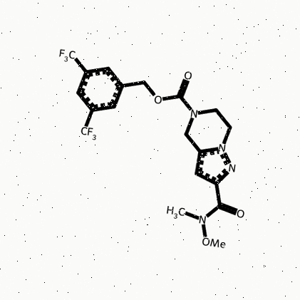 CON(C)C(=O)c1cc2n(n1)CCN(C(=O)OCc1cc(C(F)(F)F)cc(C(F)(F)F)c1)C2